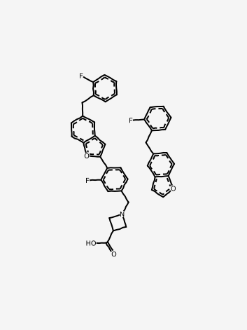 Fc1ccccc1Cc1ccc2occc2c1.O=C(O)C1CN(Cc2ccc(-c3cc4cc(Cc5ccccc5F)ccc4o3)c(F)c2)C1